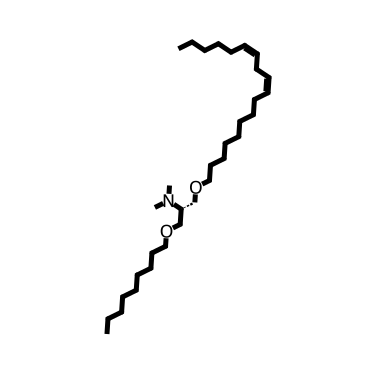 CCCCC/C=C\C/C=C\CCCCCCCCOC[C@H](COCCCCCCCCC)N(C)C